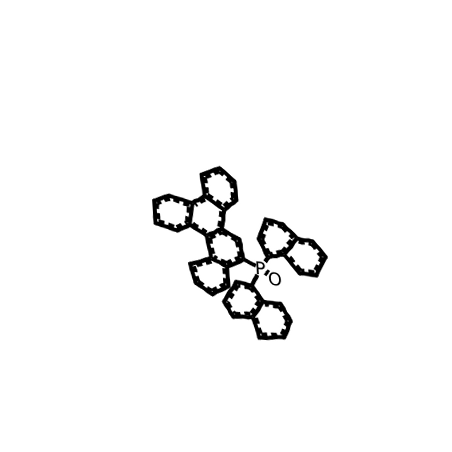 O=P(c1cccc2ccccc12)(c1cccc2ccccc12)c1cc2c3ccccc3c3ccccc3c2c2ccccc12